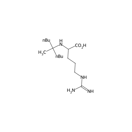 CCCCC(C)(CCCC)NC(CCCNC(=N)N)C(=O)O